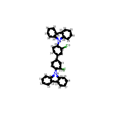 Fc1cc(-c2ccc(-n3c4ccccc4c4ccccc43)c(F)c2)ccc1-n1c2ccccc2c2ccccc21